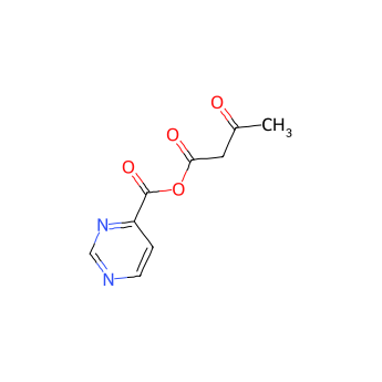 CC(=O)CC(=O)OC(=O)c1ccncn1